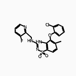 Cc1ccc2c(c1Oc1ccccc1Cl)NC(NCc1ncccc1F)=NS2(=O)=O